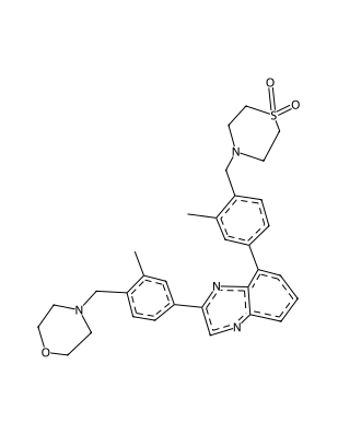 Cc1cc(-c2cnc3cccc(-c4ccc(CN5CCS(=O)(=O)CC5)c(C)c4)c3n2)ccc1CN1CCOCC1